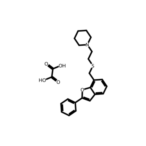 O=C(O)C(=O)O.c1ccc(-c2cc3cccc(CSCCN4CCCCC4)c3o2)cc1